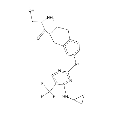 N[C@@H](CO)C(=O)N1CCc2ccc(Nc3ncc(C(F)(F)F)c(NC4CC4)n3)cc2C1